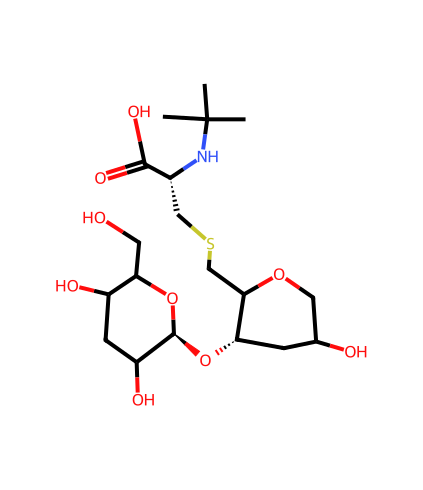 CC(C)(C)N[C@H](CSCC1OCC(O)C[C@@H]1O[C@@H]1OC(CO)C(O)CC1O)C(=O)O